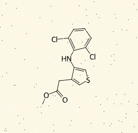 COC(=O)Cc1cscc1Nc1c(Cl)cccc1Cl